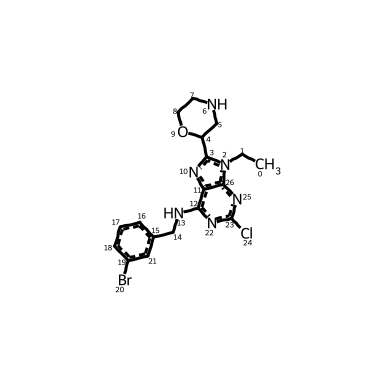 CCn1c(C2CNCCO2)nc2c(NCc3cccc(Br)c3)nc(Cl)nc21